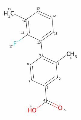 Cc1cc(C(=O)O)ccc1-c1cccc(C)c1F